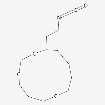 O=C=NCCC1CCCCCCCCCCC1